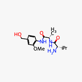 COc1cc(CO)ccc1NC(=O)[C@H](C)NC(=O)[C@@H](N)C(C)C